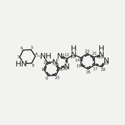 c1cc(N[C@H]2CCCNC2)n2nc(Nc3ccc4cn[nH]c4c3)nc2c1